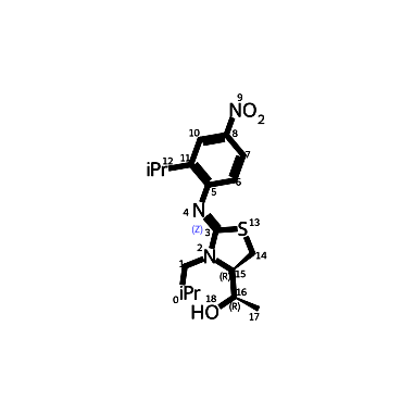 CC(C)CN1/C(=N/c2ccc([N+](=O)[O-])cc2C(C)C)SC[C@H]1[C@@H](C)O